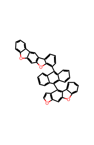 c1ccc2c(c1)oc1cc3oc4c(-c5c6ccccc6c(-c6c7ccoc7cc7oc8ccccc8c67)c6ccccc56)cccc4c3cc12